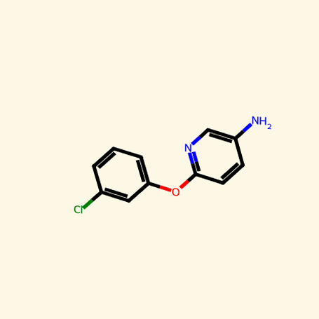 Nc1ccc(Oc2cccc(Cl)c2)nc1